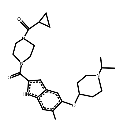 Cc1cc2[nH]c(C(=O)N3CCN(C(=O)C4CC4)CC3)cc2cc1OC1CCN(C(C)C)CC1